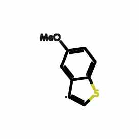 COc1ccc2sc[c]c2c1